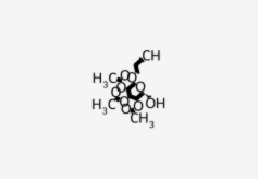 C#CCCO[C@@H]1O[C@H](CO)[C@H](OC(C)=O)[C@H](OC(C)=O)[C@H]1OC(C)=O